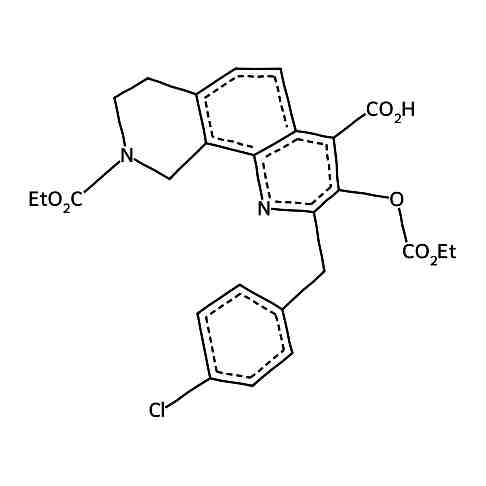 CCOC(=O)Oc1c(Cc2ccc(Cl)cc2)nc2c3c(ccc2c1C(=O)O)CCN(C(=O)OCC)C3